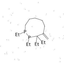 C=C1CCCCCP(CC)P(CC)C1(CC)CC